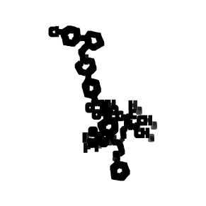 CC(C)N(CC[C@H](CSc1ccccc1)Nc1ccc(S(=O)(=O)NC(=O)c2ccc(C3=CCN(CC4=C(c5ccc(Cl)cc5)CCCC4)CC3)cc2)cc1S(=O)(=O)C(F)(F)F)C(C)C